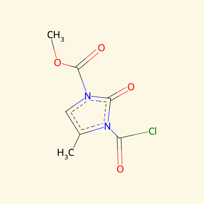 COC(=O)n1cc(C)n(C(=O)Cl)c1=O